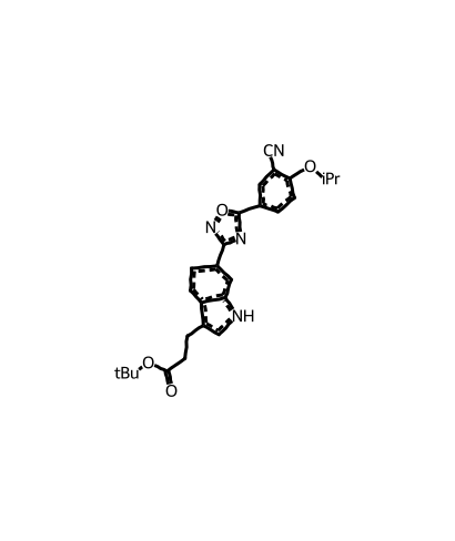 CC(C)Oc1ccc(-c2nc(-c3ccc4c(CCC(=O)OC(C)(C)C)c[nH]c4c3)no2)cc1C#N